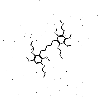 COCOc1cc(OC)c(OCOC)c(CCCCCc2c(OCOC)c(OC)c(SC)c(OCOC)c2OC)c1OC